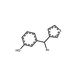 CC(=O)C(c1ccsc1)c1cccc(O)c1